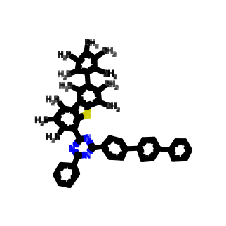 Bc1c(B)c(B)c(-c2c(B)c(B)c3sc4c(-c5nc(-c6ccccc6)nc(-c6ccc(-c7ccc(-c8ccccc8)cc7)cc6)n5)c(B)c(B)c(B)c4c3c2B)c(B)c1B